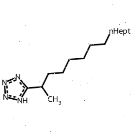 CCCCCCCCCCCCCC(C)c1nnn[nH]1